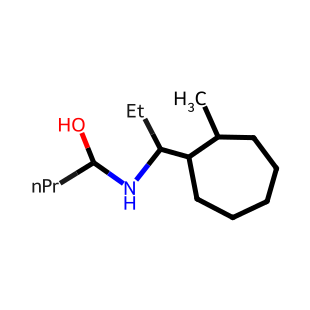 CCCC(O)NC(CC)C1CCCCCC1C